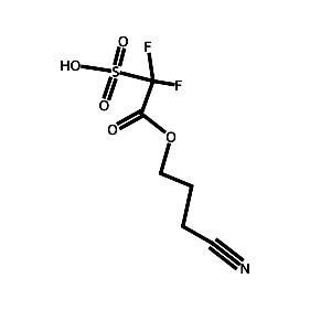 N#CCCCOC(=O)C(F)(F)S(=O)(=O)O